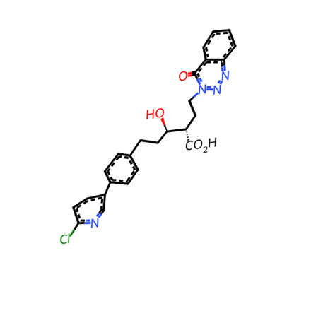 O=C(O)[C@@H](CCn1nnc2ccccc2c1=O)[C@H](O)CCc1ccc(-c2ccc(Cl)nc2)cc1